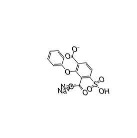 O=C([O-])c1ccc(S(=O)(=O)O)c(C(=O)[O-])c1Oc1ccccc1.[Na+].[Na+]